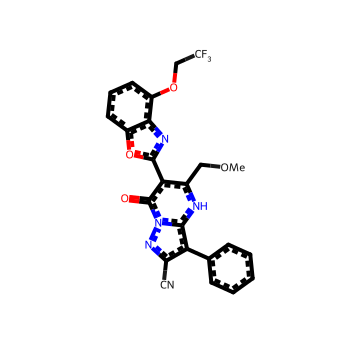 COCc1[nH]c2c(-c3ccccc3)c(C#N)nn2c(=O)c1-c1nc2c(OCC(F)(F)F)cccc2o1